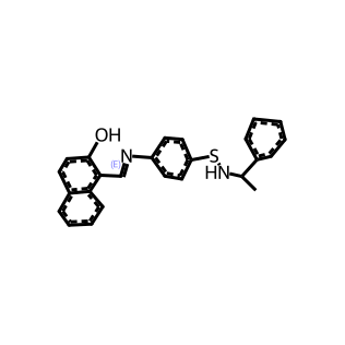 CC(NSc1ccc(/N=C/c2c(O)ccc3ccccc23)cc1)c1ccccc1